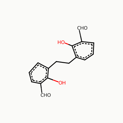 O=Cc1cccc(CCc2cccc(C=O)c2O)c1O